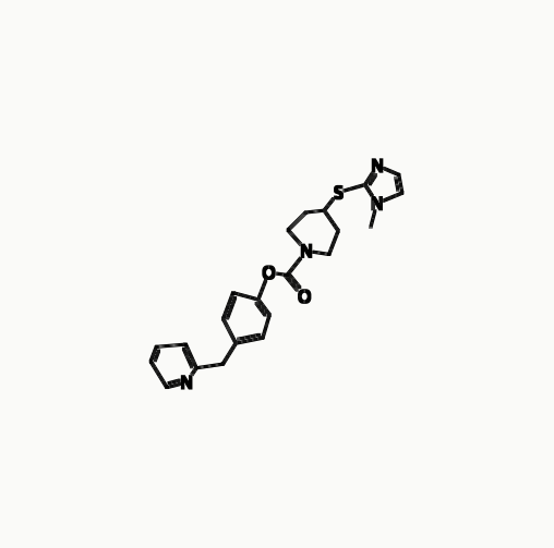 Cn1ccnc1SC1CCN(C(=O)Oc2ccc(Cc3ccccn3)cc2)CC1